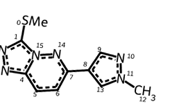 CSc1nnc2ccc(-c3cnn(C)c3)nn12